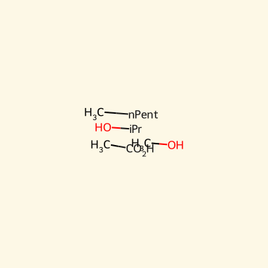 CC(=O)O.CC(C)O.CCCCCC.CO